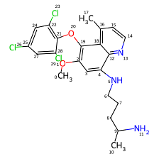 COc1cc(NCCCC(C)N)c2nccc(C)c2c1Oc1c(Cl)cc(Cl)cc1Cl